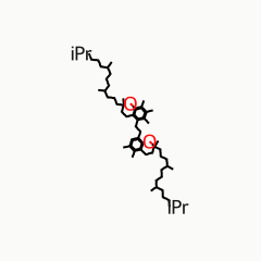 Cc1cc(CCc2c(C)c(C)c(C)c3c2CCC(C)(CCCC(C)CCCC(C)CCCC(C)C)O3)c2c(c1C)CCC(C)(CCCC(C)CCCC(C)CCCC(C)C)O2